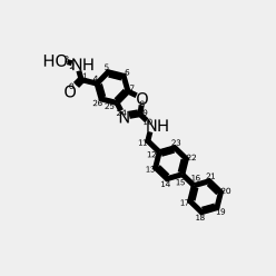 O=C(NO)c1ccc2oc(NCc3ccc(-c4ccccc4)cc3)nc2c1